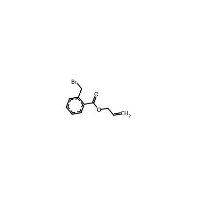 C=CCOC(=O)c1ccccc1CBr